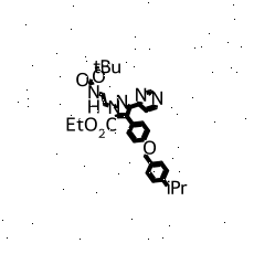 CCOC(=O)c1c(-c2ccc(OCc3ccc(C(C)C)cc3)cc2)c(-c2ccncn2)nn1CCNC(=O)OC(C)(C)C